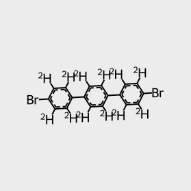 [2H]c1c([2H])c(-c2c([2H])c([2H])c(-c3c([2H])c([2H])c(Br)c([2H])c3[2H])c([2H])c2[2H])c([2H])c([2H])c1Br